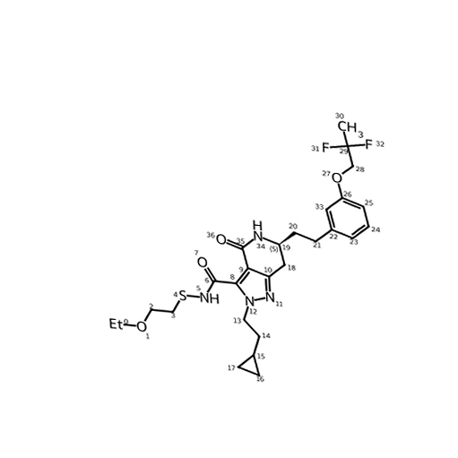 CCOCCSNC(=O)c1c2c(nn1CCC1CC1)C[C@H](CCc1cccc(OCC(C)(F)F)c1)NC2=O